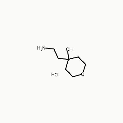 Cl.NCCC1(O)CCOCC1